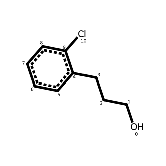 OCCCc1ccccc1Cl